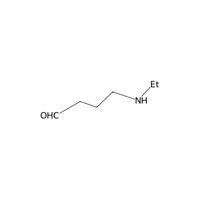 CCNCCCC=O